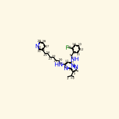 CC(C)c1cnn2c(NCc3ccccc3F)cc(NCCCCCCc3cccnc3)nc12